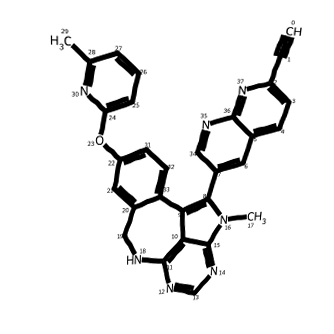 C#Cc1ccc2cc(-c3c4c5c(ncnc5n3C)NCc3cc(Oc5cccc(C)n5)ccc3-4)cnc2n1